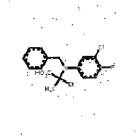 CCC(C)(C(=O)O)N(Cc1ccccc1)c1ccc(F)c(Cl)c1